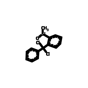 C[S+]([O-])c1ccccc1C(Cl)(Cl)c1ccccc1